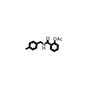 CC(=O)Oc1ccccc1C(=O)NCc1ccc(C)cc1